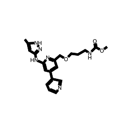 COC(=O)NCCCOCc1cc(-c2cccnc2)cc(Nc2cc(C)[nH]n2)n1